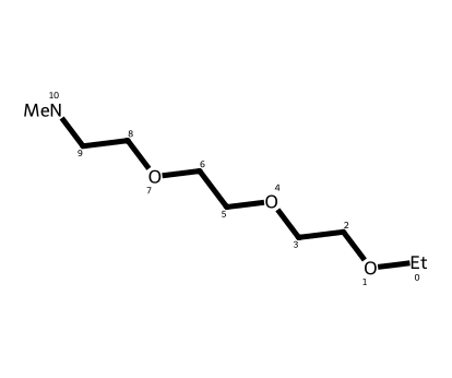 [CH2]COCCOCCOCCNC